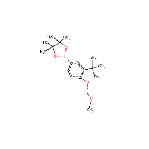 COCOc1ccc(B2OC(C)(C)C(C)(C)O2)cc1C(C)(C)C